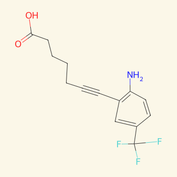 Nc1ccc(C(F)(F)F)cc1C#CCCCCC(=O)O